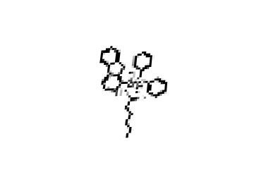 CCCCCC(=O)[NH][Zr]([Cl])([Cl])([c]1cccc2c1Cc1ccccc1-2)[SiH](c1ccccc1)c1ccccc1